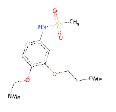 CNCOc1ccc(NS(C)(=O)=O)cc1OCCOC